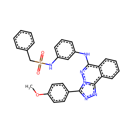 COc1ccc(-c2nnc3c4ccccc4c(Nc4cccc(NS(=O)(=O)Cc5ccccc5)c4)nn23)cc1